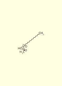 CCCCCCCCCCCCCCCC(=O)OC(CO)COC(C)=O